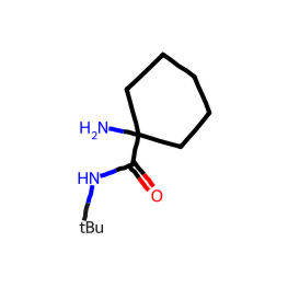 CC(C)(C)NC(=O)C1(N)CCCCC1